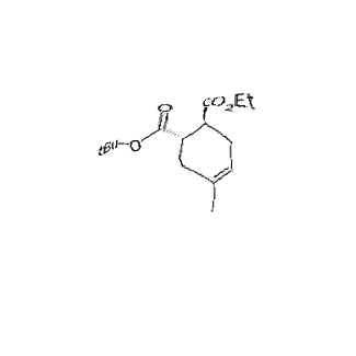 CCOC(=O)[C@H]1CC=C(C)C[C@@H]1C(=O)OC(C)(C)C